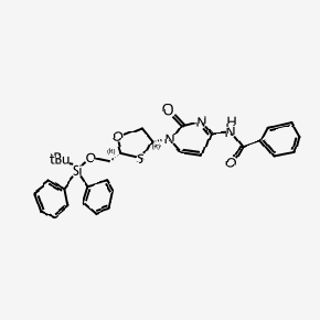 CC(C)(C)[Si](OC[C@@H]1OC[C@H](n2ccc(NC(=O)c3ccccc3)nc2=O)S1)(c1ccccc1)c1ccccc1